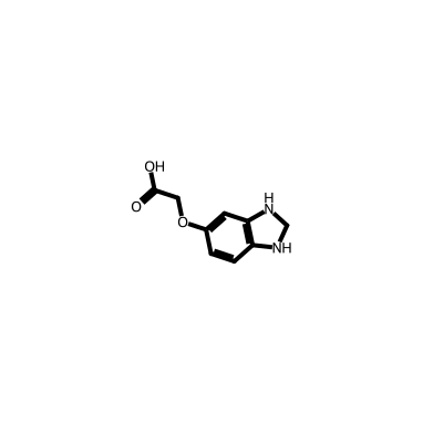 O=C(O)COc1ccc2c(c1)NCN2